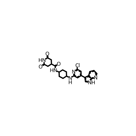 O=C1CC(C(=O)NC2CCC(Nc3cc(-c4c[nH]c5ncccc45)cc(Cl)n3)CC2)CC(=O)N1